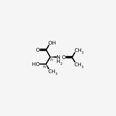 CC(C)=O.C[C@@H](O)[C@H](N)C(=O)O